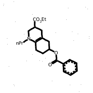 CCCN1CC(C(=O)OCC)CC2=C1CCC(OC(=O)c1ccccc1)C2